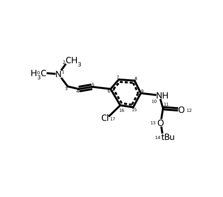 CN(C)CC#Cc1ccc(NC(=O)OC(C)(C)C)cc1Cl